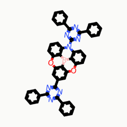 c1ccc(-c2nc(-c3ccccc3)nc(-c3cc4c5c(c3)Oc3cccc6c3B5c3c(cccc3N6c3nc(-c5ccccc5)nc(-c5ccccc5)n3)O4)n2)cc1